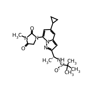 C[C@@H](N[S@+]([O-])C(C)(C)C)c1cc2cc(C3CC3)cc(N3CC(=O)N(C)C3=O)n2n1